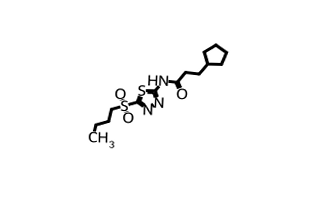 CCCCS(=O)(=O)c1nnc(NC(=O)CCC2CCCC2)s1